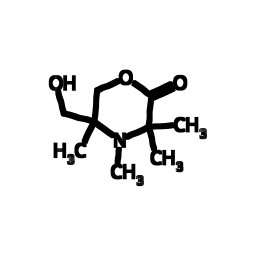 CN1C(C)(CO)COC(=O)C1(C)C